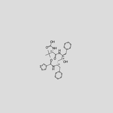 CC(C)(C)[C@H](NC(=O)O)C(=O)N[C@@H](Cc1ccccc1)[C@H](O)C[C@H](Cc1ccccc1)NC(=O)c1ccsc1